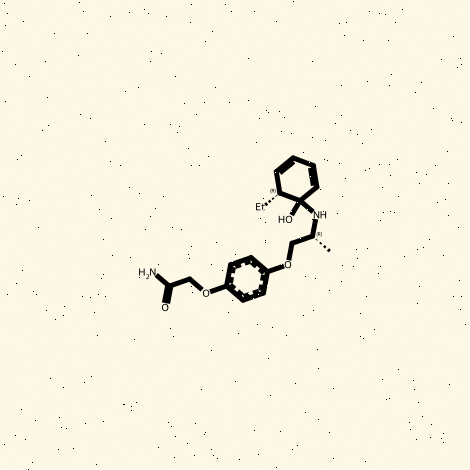 CC[C@@H]1C=CC=CC1(O)N[C@H](C)COc1ccc(OCC(N)=O)cc1